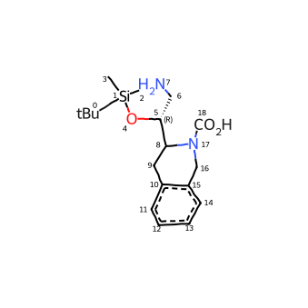 CC(C)(C)[Si](C)(C)O[C@H](CN)C1Cc2ccccc2CN1C(=O)O